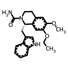 CCOc1cc2c(cc1OC)CCN(C(N)=O)[C@H]2Cc1c[nH]c2ccccc12